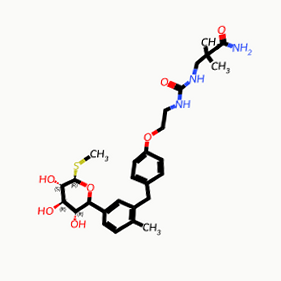 CS[C@H]1OC(c2ccc(C)c(Cc3ccc(OCCNC(=O)NCC(C)(C)C(N)=O)cc3)c2)[C@H](O)[C@@H](O)[C@@H]1O